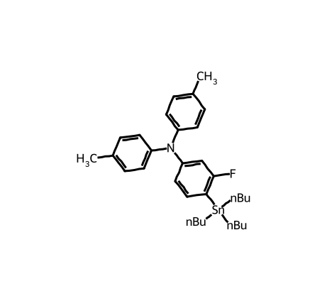 CCC[CH2][Sn]([CH2]CCC)([CH2]CCC)[c]1ccc(N(c2ccc(C)cc2)c2ccc(C)cc2)cc1F